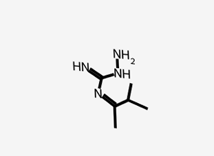 CC(=NC(=N)NN)C(C)C